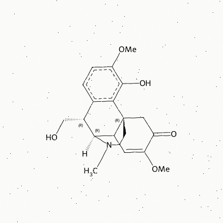 COC1=CC2[C@@H]3[C@H](CO)c4ccc(OC)c(O)c4[C@]2(CCN3C)CC1=O